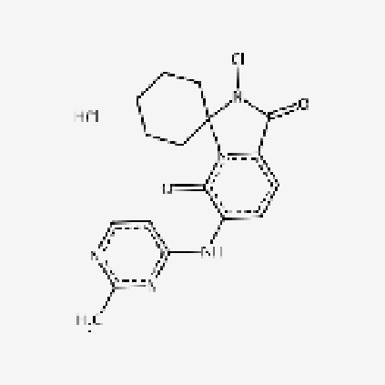 Cc1nccc(Nc2ccc3n(c2=O)C2(CCCCC2)N(Cl)C3=O)n1.Cl